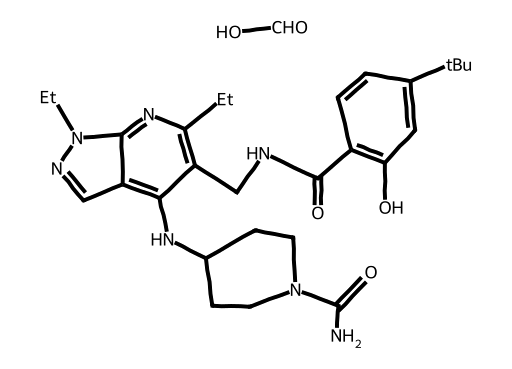 CCc1nc2c(cnn2CC)c(NC2CCN(C(N)=O)CC2)c1CNC(=O)c1ccc(C(C)(C)C)cc1O.O=CO